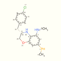 CNc1cc(PC)cc2c1N[C@@H](Cc1ccc(Cl)cc1)CO2